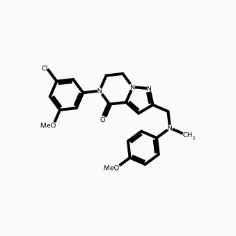 COc1ccc(N(C)Cc2cc3n(n2)CCN(c2cc(Cl)cc(OC)c2)C3=O)cc1